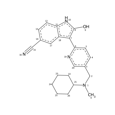 CN(Cc1ccc(-c2c(O)[nH]c3ccc(C#N)cc23)nc1)C1CCCCC1